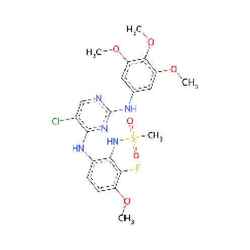 COc1ccc(Nc2nc(Nc3cc(OC)c(OC)c(OC)c3)ncc2Cl)c(NS(C)(=O)=O)c1F